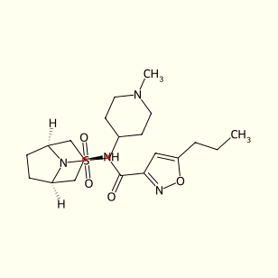 CCCc1cc(C(=O)N[C@H]2C[C@H]3CC[C@@H](C2)N3S(=O)(=O)CC2CCN(C)CC2)no1